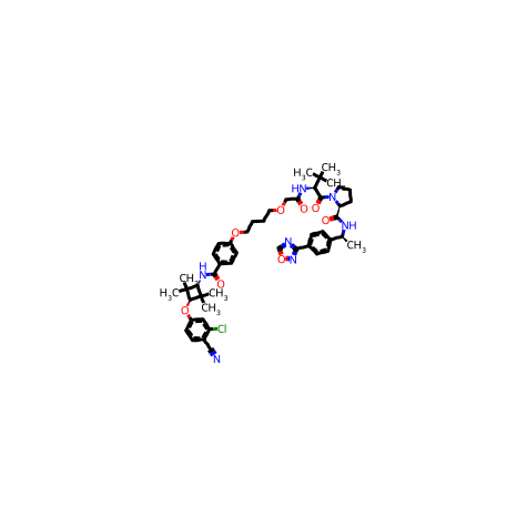 C[C@H](NC(=O)[C@@H]1CCCN1C(=O)[C@@H](NC(=O)COCCCCOc1ccc(C(=O)N[C@H]2C(C)(C)[C@H](Oc3ccc(C#N)c(Cl)c3)C2(C)C)cc1)C(C)(C)C)c1ccc(-c2ncon2)cc1